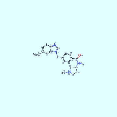 COc1ccc2ncn(Cc3ccc(C(=O)N(C)C4CCN(C(C)C)C4)cc3)c2c1